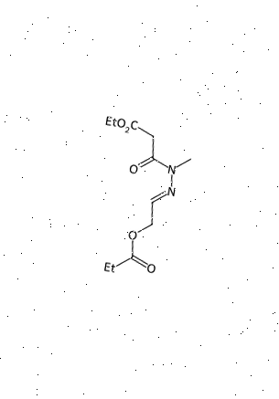 CCOC(=O)CC(=O)N(C)/N=C/COC(=O)CC